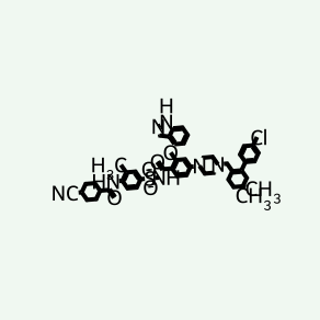 Cc1cc(S(=O)(=O)NC(=O)c2ccc(N3CCN(CC4=C(c5ccc(Cl)cc5)CC(C)(C)CC4)CC3)cc2Oc2cccc3[nH]ncc23)ccc1NC(=O)C1CCC(C#N)CC1